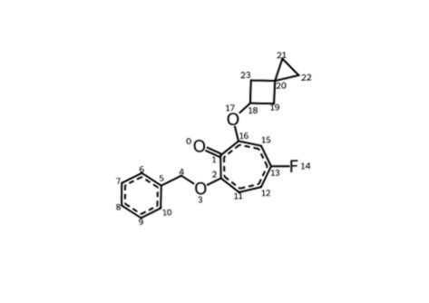 O=c1c(OCc2ccccc2)ccc(F)cc1OC1CC2(CC2)C1